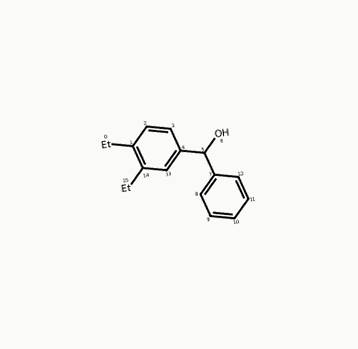 CCc1ccc(C(O)c2ccccc2)cc1CC